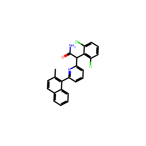 Cc1ccc2ccccc2c1-c1cccc(C(C(N)=O)c2c(Cl)cccc2Cl)n1